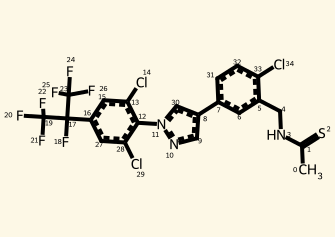 CC(=S)NCc1cc(-c2cnn(-c3c(Cl)cc(C(F)(C(F)(F)F)C(F)(F)F)cc3Cl)c2)ccc1Cl